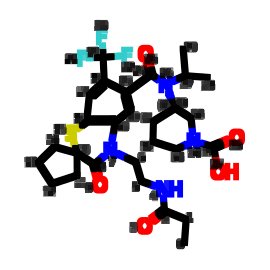 CCC(=O)NCCN1C(=O)C2(CCCC2)Sc2cc(C(F)(F)F)c(C(=O)N(C(C)C)[C@@H]3CCCN(C(=O)O)C3)cc21